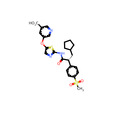 CS(=O)(=O)c1ccc([C@@H](CC2CCCC2)C(=O)Nc2ncc(Oc3cncc(C(=O)O)c3)s2)cc1